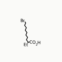 CCC(CCCCCCCCBr)C(=O)O